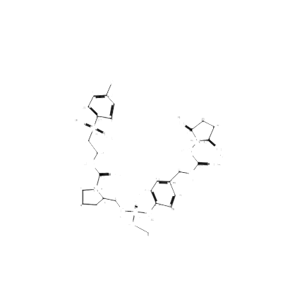 COP(=O)(OCC1CCCN1C(=O)OCCS(=O)(=O)c1ccc(C)cc1)Oc1ccc(COC(=O)ON2C(=O)CCC2=O)cc1